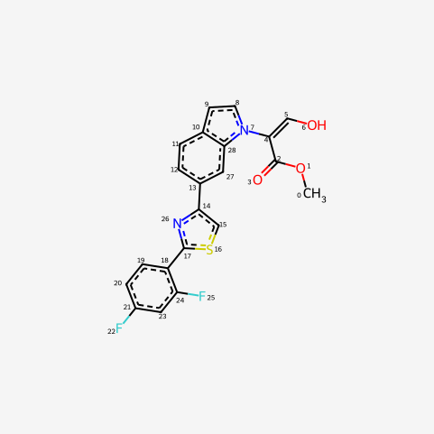 COC(=O)C(=CO)n1ccc2ccc(-c3csc(-c4ccc(F)cc4F)n3)cc21